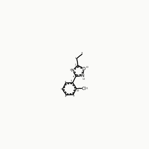 CCc1nc(-c2ccccc2Cl)no1